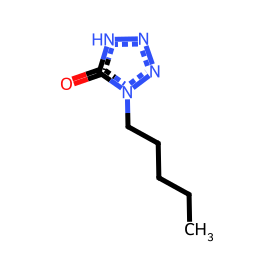 CCCCCn1nn[nH]c1=O